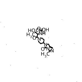 Cc1ncc2n1C(=O)N(C1CCN(C(=O)C(NC(=O)O)C(C)(C)O)CC1)C2